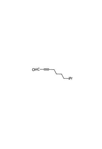 CC(C)CCCCC#CC=O